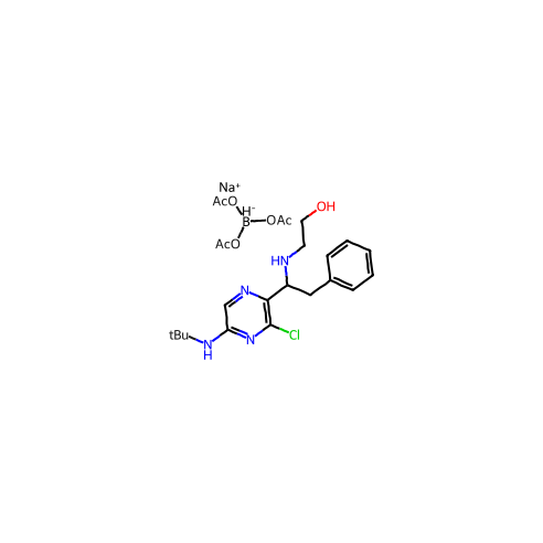 CC(=O)O[BH-](OC(C)=O)OC(C)=O.CC(C)(C)Nc1cnc(C(Cc2ccccc2)NCCO)c(Cl)n1.[Na+]